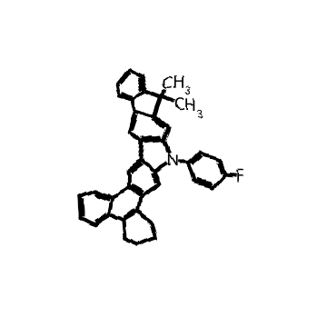 CC1(C)c2ccccc2-c2cc3c4cc5c(cc4n(-c4ccc(F)cc4)c3cc21)c1c(c2ccccc25)CCCC1